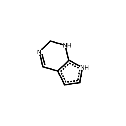 C1=NCNc2[nH]ccc21